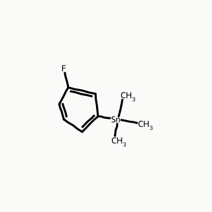 [CH3][Sn]([CH3])([CH3])[c]1cccc(F)c1